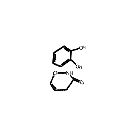 O=C1CC=CON1.Oc1ccccc1O